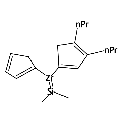 CCCC1=C(CCC)C[C]([Zr]([C]2=CC=CC2)=[Si](C)C)=C1